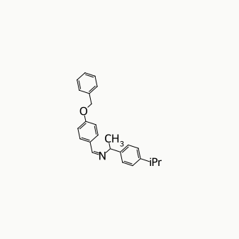 CC(C)c1ccc(C(C)/N=C\c2ccc(OCc3ccccc3)cc2)cc1